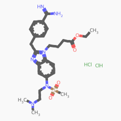 CCOC(=O)CCCn1c(Cc2ccc(C(=N)N)cc2)nc2cc(N(CCN(C)C)S(C)(=O)=O)ccc21.Cl.Cl